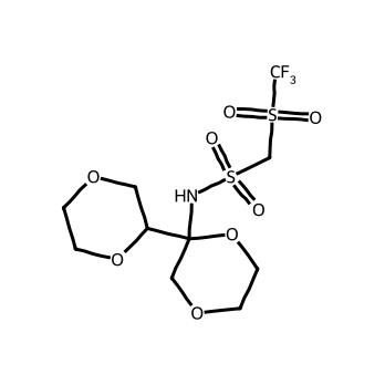 O=S(=O)(CS(=O)(=O)C(F)(F)F)NC1(C2COCCO2)COCCO1